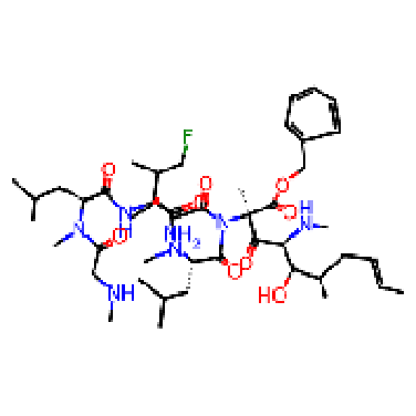 C/C=C/C[C@@H](C)[C@@H](O)[C@H](NC)C(=O)[C@](C)(C(=O)OCc1ccccc1)N(C(=O)C(N)CC)C(=O)[C@H](CC(C)C)N(C)C(=O)[C@@H](NC(=O)[C@H](CC(C)C)N(C)C(=O)CNC)C(C)CF